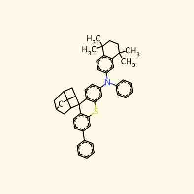 CC1(C)CCC(C)(C)c2cc(N(c3ccccc3)c3ccc4c(c3)Sc3cc(-c5ccccc5)ccc3C43C4CC5CC6CC3C64C5)ccc21